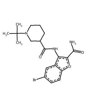 CC(C)(C)N1CCCC(C(=O)Nc2c(C(N)=O)oc3ccc(Br)cc23)C1